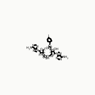 Nc1ncnc2c1ncn2[C@@H]1O[C@@H]2COP(=O)(S)O[C@@H]3C(COP(=O)(SCc4ccc(I)cc4)O[C@H]2[C@H]1O)O[C@@H](n1cnc2c(N)ncnc21)[C@@H]3F